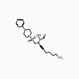 CCCCCC#CC(CS(=O)(=O)N1CCN(c2ccccn2)CC1)N(O)C=O